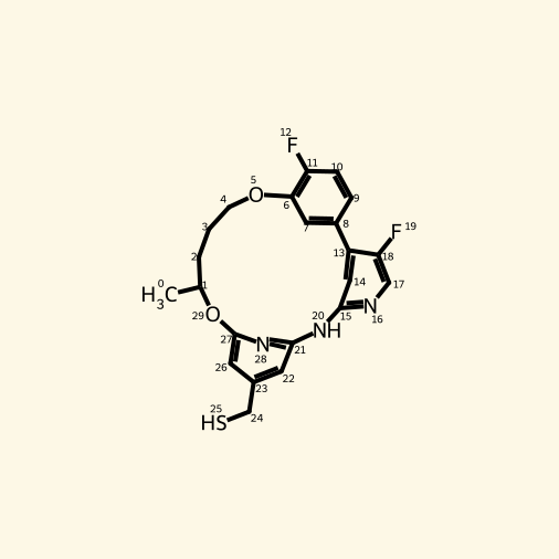 CC1CCCOc2cc(ccc2F)-c2cc(ncc2F)Nc2cc(CS)cc(n2)O1